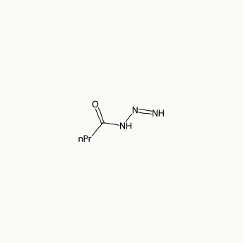 CCCC(=O)NN=N